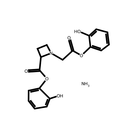 N.O=C(CN1CCC1C(=O)Oc1ccccc1O)Oc1ccccc1O